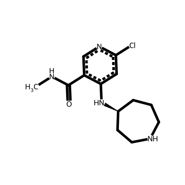 CNC(=O)c1cnc(Cl)cc1N[C@H]1CCCNCC1